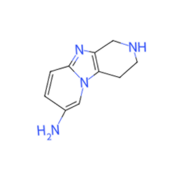 Nc1ccc2nc3c(n2c1)CCNC3